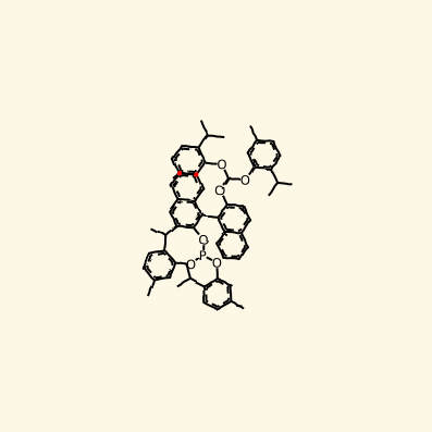 Cc1ccc(C(C)C)c(OC(Oc2cc(C)ccc2C(C)C)Oc2ccc3ccccc3c2-c2c3c(cc4ccccc24)C(C)c2ccc(C)cc2OP(Oc2cc(C)ccc2C(C)C)O3)c1